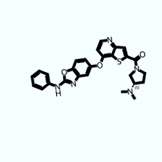 CN(C)[C@H]1CCN(C(=O)c2cc3nccc(Oc4ccc5oc(Nc6ccccc6)nc5c4)c3s2)C1